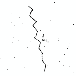 CCCCCCNCCCCCC.CN